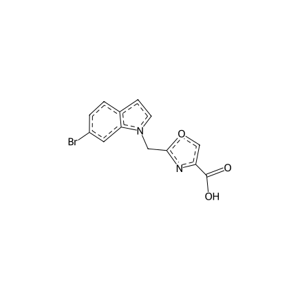 O=C(O)c1coc(Cn2ccc3ccc(Br)cc32)n1